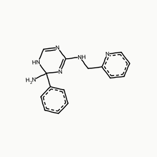 NC1(c2ccccc2)N=C(NCc2ccccn2)N=CN1